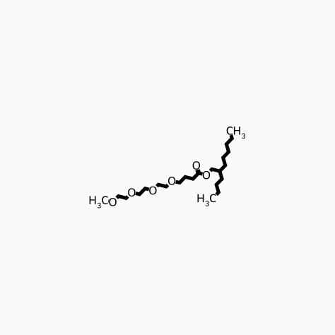 CCCCCCC(CCCC)COC(=O)CCCOCCOCCOCCOC